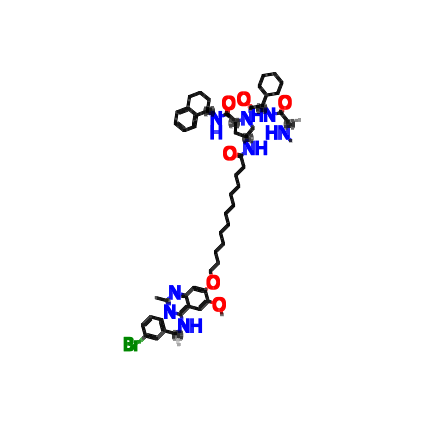 CN[C@@H](C)C(=O)N[C@H](C(=O)N1C[C@@H](NC(=O)CCCCCCCCCCCCOc2cc3nc(C)nc(N[C@H](C)c4cccc(Br)c4)c3cc2OC)C[C@H]1C(=O)N[C@@H]1CCCc2ccccc21)C1CCCCC1